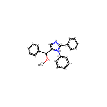 CCCCOC(c1ccccc1)c1cnc(-c2ccccc2)n1-c1ccccc1